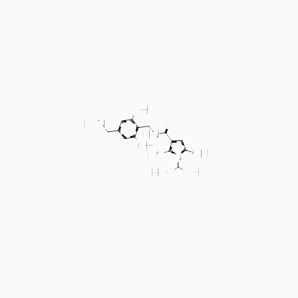 Cc1cc(CN)cc(C)c1CNC(=O)c1cc(C)n(C(C)C)c1C